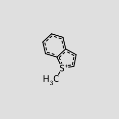 C[s+]1ccc2ccccc21